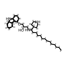 CCCCCCCCCCCCCC(NC[C@H](O)COc1cccc2[nH]c3ccccc3c12)C1CCNCC1